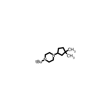 CC1(C)CCC(N2CCN(C(C)(C)C)CC2)C1